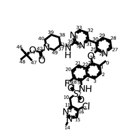 Cc1ccc2c(NS(=O)(=O)Cc3nn(C)cc3Cl)c(F)ccc2c1Oc1ncccc1-c1ccnc(N[C@H]2CCCN(C(=O)OC(C)(C)C)C2)n1